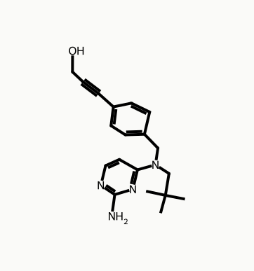 CC(C)(C)CN(Cc1ccc(C#CCO)cc1)c1ccnc(N)n1